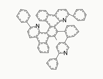 Cc1c(-c2ccccc2-c2ccc(-c3ccccc3)nc2)c2c3nc(-c4ccccc4)ccc3c3ccccc3c2c2c3nc(-c4ccccc4)ccc3c3ccccc3c12